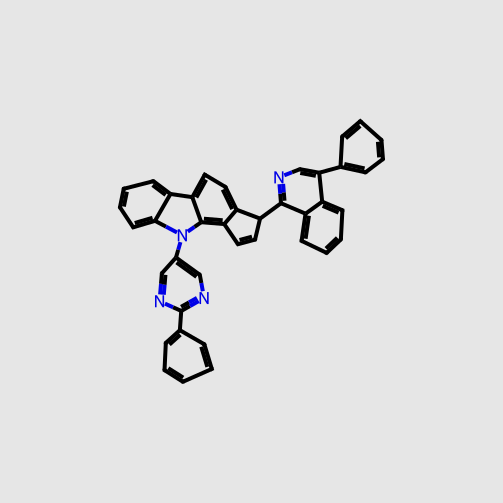 C1=CC(c2ncc(-c3ccccc3)c3ccccc23)c2ccc3c4ccccc4n(-c4cnc(-c5ccccc5)nc4)c3c21